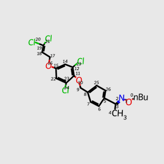 CCCCON=C(C)c1ccc(COc2c(Cl)cc(OCC=C(Cl)Cl)cc2Cl)cc1